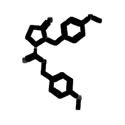 COc1ccc(COC(=O)[C@@H]2CCC(=O)N2Cc2ccc(OC)cc2)cc1